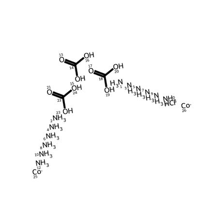 Cl.N.N.N.N.N.N.N.N.N.N.N.N.O=C(O)O.O=C(O)O.O=C(O)O.[Co].[Co]